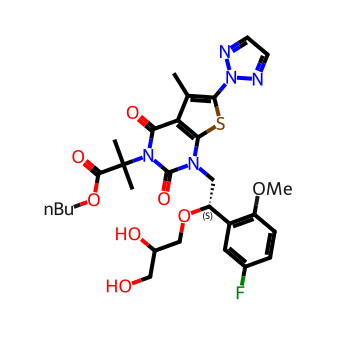 CCCCOC(=O)C(C)(C)n1c(=O)c2c(C)c(-n3nccn3)sc2n(C[C@@H](OCC(O)CO)c2cc(F)ccc2OC)c1=O